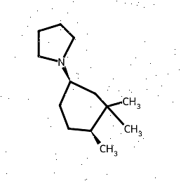 C[C@H]1CC[C@@H](N2CCCC2)CC1(C)C